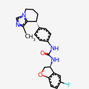 Cc1ncn2c1[C@@H](c1ccc(NC(=O)N[C@@H]3COc4ccc(F)cc43)cc1)CCC2